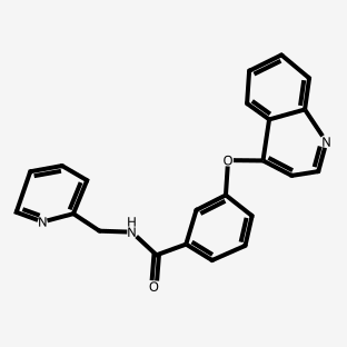 O=C(NCc1ccccn1)c1cccc(Oc2ccnc3ccccc23)c1